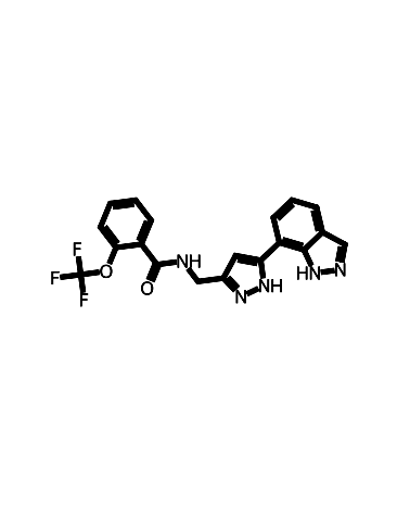 O=C(NCc1cc(-c2cccc3cn[nH]c23)[nH]n1)c1ccccc1OC(F)(F)F